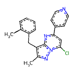 Cc1ccccc1Cc1c(C)nn2c(Cl)cc(-c3ccncc3)nc12